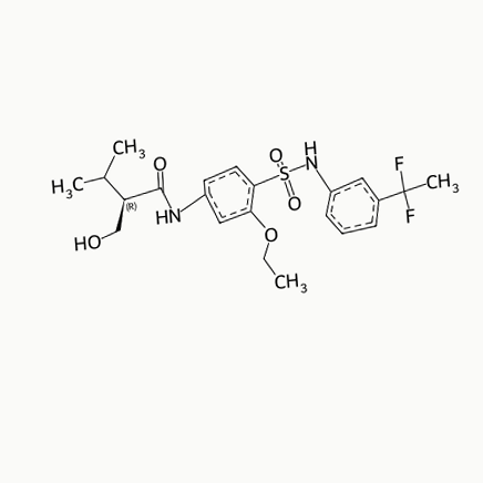 CCOc1cc(NC(=O)[C@@H](CO)C(C)C)ccc1S(=O)(=O)Nc1cccc(C(C)(F)F)c1